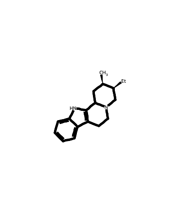 CC[C@H]1CN2CCc3c([nH]c4ccccc34)C2C[C@H]1C